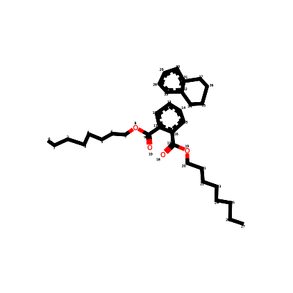 CCCCCCCCOC(=O)c1ccccc1C(=O)OCCCCCCCC.c1ccc2c(c1)CCCC2